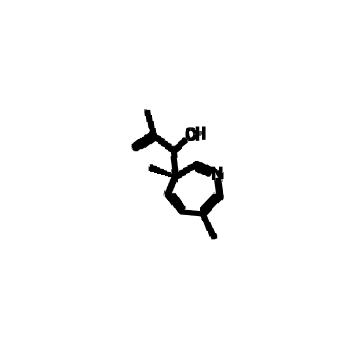 C=C(C)C(O)[C@@]1(C)C=CC(C)=CN=C1